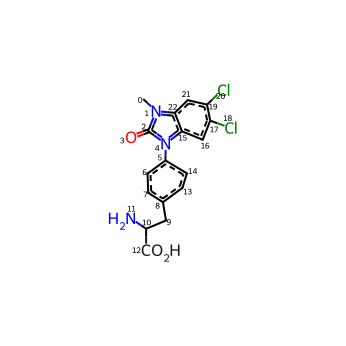 Cn1c(=O)n(-c2ccc(CC(N)C(=O)O)cc2)c2cc(Cl)c(Cl)cc21